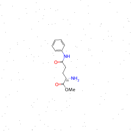 COC(=O)[C@@H](N)CCC(=O)Nc1ccccc1